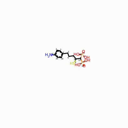 Nc1ccc(CCCC(S)C(P(=O)(O)O)P(=O)(O)O)cc1